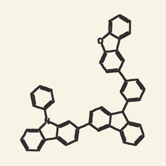 c1ccc(-n2c3ccccc3c3ccc(-c4ccc5c(c4)-c4ccccc4C5c4cccc(-c5ccc6oc7ccccc7c6c5)c4)cc32)cc1